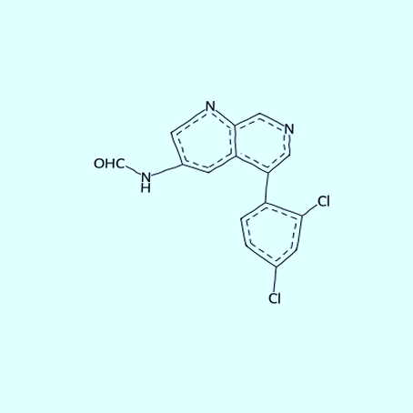 O=CNc1cnc2cncc(-c3ccc(Cl)cc3Cl)c2c1